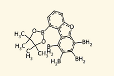 Bc1c(B)c(B)c2c(oc3cccc(B4OC(C)(C)C(C)(C)O4)c32)c1B